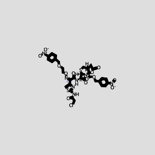 O=C(CCl)Nc1nc(/C(=N/OCCOCc2ccc([N+](=O)[O-])cc2)C(=O)N[C@@H]2C(=O)N3[C@@H]2SC[C@@H]2CC(=O)O[C@@]23C(=O)OCc2ccc([N+](=O)[O-])cc2)cs1